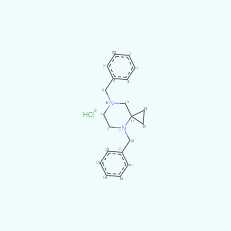 Cl.c1ccc(CN2CCN(Cc3ccccc3)C3(CC3)C2)cc1